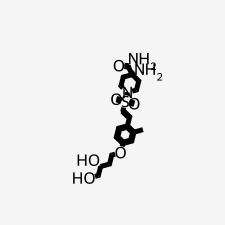 Cc1cc(OCCC(O)CO)ccc1C=CS(=O)(=O)N1CCC(N)(C(N)=O)CC1